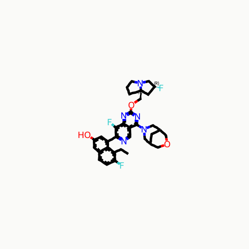 CCc1c(F)ccc2cc(O)cc(-c3ncc4c(N5CC6COCC(C6)C5)nc(OC[C@@]56CCCN5C[C@H](F)C6)nc4c3F)c12